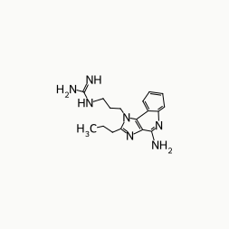 CCCc1nc2c(N)nc3ccccc3c2n1CCCNC(=N)N